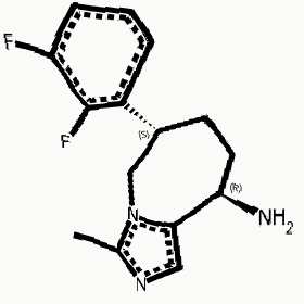 Cc1ncc2n1C[C@H](c1cccc(F)c1F)CC[C@H]2N